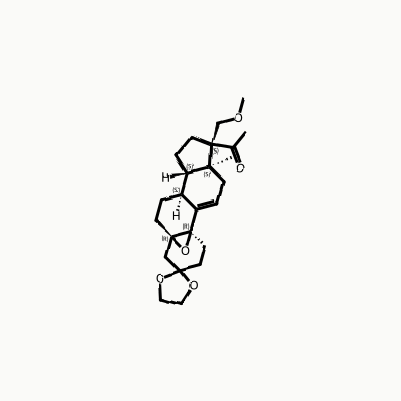 COC[C@]1(C(C)=O)CC[C@H]2[C@@H]3CC[C@@]45CC6(CC[C@@]4(O5)C3=CC[C@@]21C)OCCO6